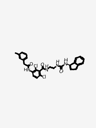 Cc1cccc(CC(=O)Nc2ccc(Cl)c(C(=O)NCCNC(=O)N[C@@H]3CCc4ccccc43)c2Cl)c1